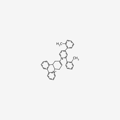 Cc1ccccc1-c1cc[n+](C2=CCC3C(C2)c2ccccc2-c2cccc[n+]23)c(-c2ccccc2C)c1